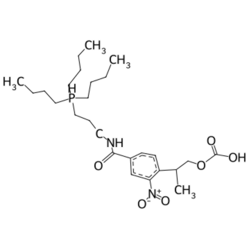 CCCC[PH](CCCC)(CCCC)CCCNC(=O)c1ccc(C(C)COC(=O)O)c([N+](=O)[O-])c1